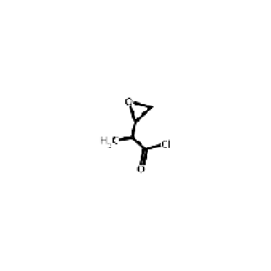 CC(C(=O)Cl)C1CO1